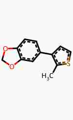 Cc1sccc1-c1ccc2c(c1)OCO2